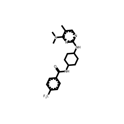 Cc1cnc(NC2CCC(NC(=O)c3ccc(C(F)(F)F)cc3)CC2)nc1N(C)C